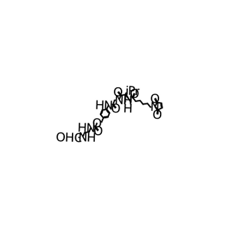 CC(C)C(NC(=O)CCCCCN1C(=O)C=CC1=O)C(=O)NCC(=O)Nc1ccc(COC(=O)NCCNC=O)cc1